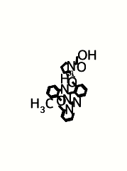 Cc1cccc(Nc2ncnc3cccc(OC[C@@H]4CCCN4C(=O)CO)c23)c1OCc1ccccn1